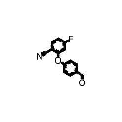 N#Cc1ccc(F)cc1Oc1ccc(C=O)cc1